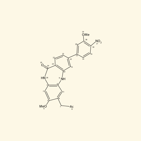 COc1cc2c(cc1CC(C)=O)Nc1cc(-c3ccc([N+](=O)[O-])c(OC)c3)ccc1C(=O)N2